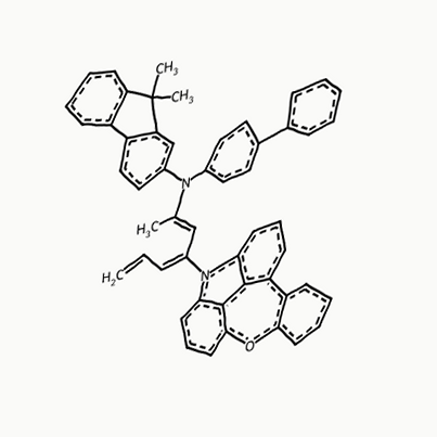 C=C/C=C(\C=C(/C)N(c1ccc(-c2ccccc2)cc1)c1ccc2c(c1)C(C)(C)c1ccccc1-2)n1c2cccc3oc4ccccc4c4cccc1c4c32